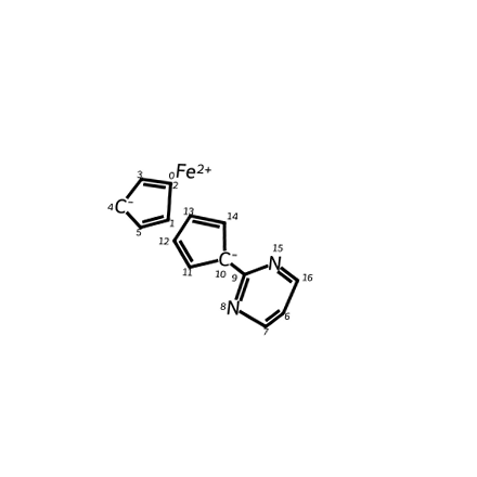 [Fe+2].c1cc[cH-]c1.c1cnc(-[c-]2cccc2)nc1